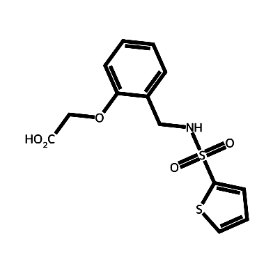 O=C(O)COc1ccccc1CNS(=O)(=O)c1cccs1